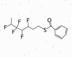 CC(F)C(F)(F)C(F)C(F)CCSC(=O)c1ccccc1